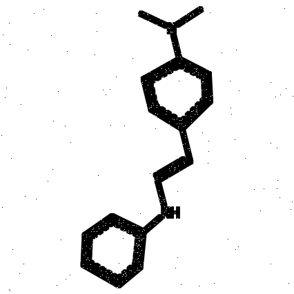 CN(C)c1ccc(C=CNc2ccccc2)cc1